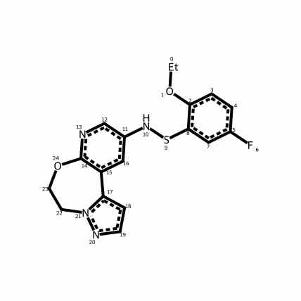 CCOc1ccc(F)cc1SNc1cnc2c(c1)-c1ccnn1CCO2